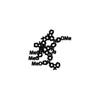 COc1ccc(N(c2ccc3c(c2)-c2ccccc2C3(C)C)c2ccc3c(c2)c2cc(N(c4ccc(OC)cc4)c4ccc5c(c4)-c4ccccc4C5(C)C)ccc2n3C2CCC2n2c3ccc(N(c4ccc(OC)cc4)c4ccc5c(c4)-c4ccccc4C5(C)C)cc3c3cc(N(c4ccc(OC)cc4)c4ccc5c(c4)-c4ccccc4C5(C)C)ccc32)cc1